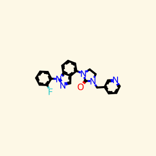 O=C1N(Cc2cccnc2)CCN1c1cccc2c1cnn2-c1ccccc1F